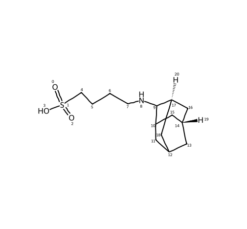 O=S(=O)(O)CCCCNC1C2CC3C[C@H](C2)C[C@H]1C3